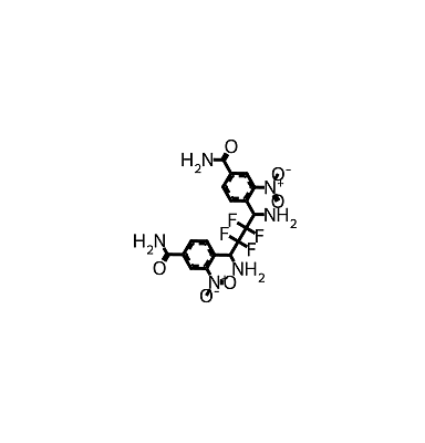 NC(=O)c1ccc(C(N)C(F)(F)C(F)(F)C(N)c2ccc(C(N)=O)cc2[N+](=O)[O-])c([N+](=O)[O-])c1